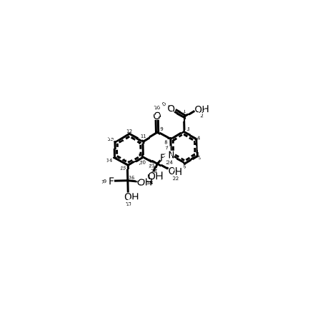 O=C(O)c1cccnc1C(=O)c1cccc(C(O)(O)F)c1C(O)(O)F